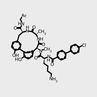 CC(=O)CNC(=O)[C@@H]1Cc2ccc(O)c(c2)-c2cc(ccc2O)[C@H](N(C)C(=O)[C@H](CCCCN)NC(=O)c2ccc(-c3ccc(Cl)cc3)cc2)C(=O)N[C@@H](C)C(=O)N1